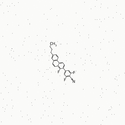 CCCCc1ccc2c(ccc3c(F)c(-c4cc(F)c(C#N)c(F)c4)ccc32)c1